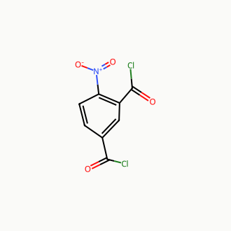 O=C(Cl)c1ccc([N+](=O)[O-])c(C(=O)Cl)c1